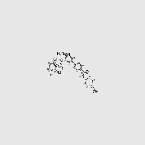 C[C@H](Oc1cc(-c2ccc(C(=O)N[C@H]3CC[C@H](CO)CC3)cc2)cnc1N)c1c(Cl)ccc(F)c1Cl